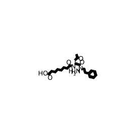 CC(=O)C[C@@H](NC(=O)CCCCCCC(=O)O)C(=O)N(N)CCc1ccccc1